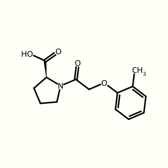 Cc1ccccc1OCC(=O)N1CCC[C@H]1C(=O)O